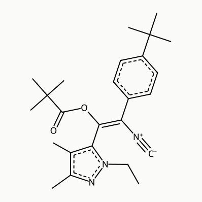 [C-]#[N+]C(=C(OC(=O)C(C)(C)C)c1c(C)c(C)nn1CC)c1ccc(C(C)(C)C)cc1